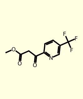 COC(=O)CC(=O)c1ccc(C(F)(F)F)cn1